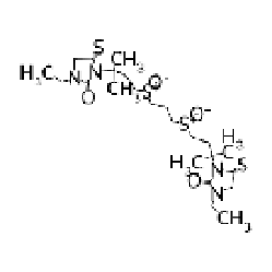 CCN1CC(=S)N(C(C)(C)CC[S+]([O-])CCC[S+]([O-])CCC(C)(C)N2C(=O)N(CC)CC2=S)C1=O